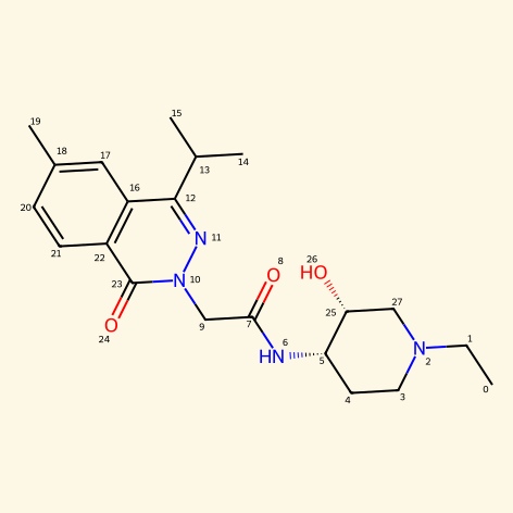 CCN1CC[C@H](NC(=O)Cn2nc(C(C)C)c3cc(C)ccc3c2=O)[C@H](O)C1